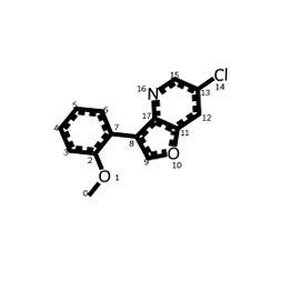 COc1ccccc1-c1coc2cc(Cl)cnc12